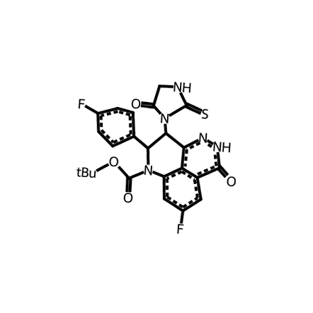 CC(C)(C)OC(=O)N1c2cc(F)cc3c(=O)[nH]nc(c23)C(N2C(=O)CNC2=S)C1c1ccc(F)cc1